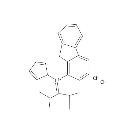 CC(C)[C](C(C)C)=[Ti+2]([c]1cccc2c1Cc1ccccc1-2)[CH]1C=CC=C1.[Cl-].[Cl-]